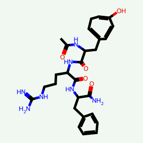 CC(=O)NC(CC1=CCC=C(O)C=C1)C(=O)NC(CCCNC(=N)N)C(=O)NC(Cc1ccccc1)C(N)=O